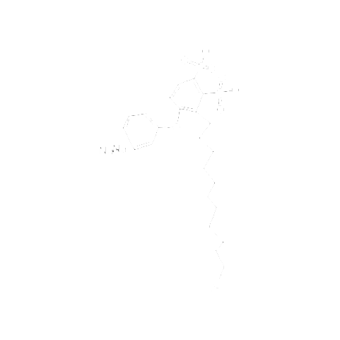 CCCCCCCCCCCCc1c(Oc2ccccc2)ccc(S(=O)(=O)[O-])c1S(=O)(=O)[O-].[Na+].[Na+]